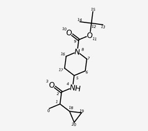 CC(C(=O)NC1CCN(C(=O)OC(C)(C)C)CC1)C1CC1